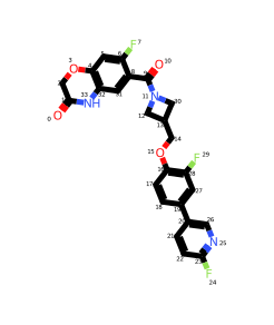 O=C1COc2cc(F)c(C(=O)N3CC(COc4ccc(-c5ccc(F)nc5)cc4F)C3)cc2N1